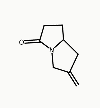 C=C1CC2CCC(=O)N2C1